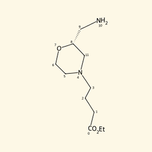 CCOC(=O)CCCN1CCO[C@H](CN)C1